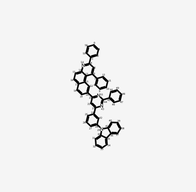 c1ccc(-c2cc(-c3ccccc3)c3c(ccc4ccc(-c5cc(-c6cccc(-n7c8ccccc8c8ccccc87)c6)nc(-c6ccccc6)n5)cc43)n2)cc1